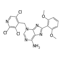 COc1cccc(OC)c1-c1nc2c(N)ncn(Cc3c(Cl)cnc(Cl)c3Cl)c-2n1